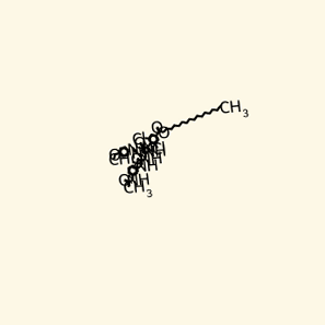 CCCCCCCCCCCCCCCCOC(=O)c1cc(Cl)c(-n2[nH]c(NC(=O)Nc3cccc(NC(C)=O)c3)c(/N=N/c3ccc(OC)cc3)c2=O)c(Cl)c1